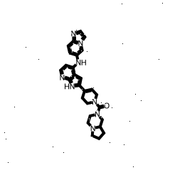 O=C(N1CC=C(c2cc3c(Nc4ccc5nccn5c4)ccnc3[nH]2)CC1)N1CCN2CCCC2C1